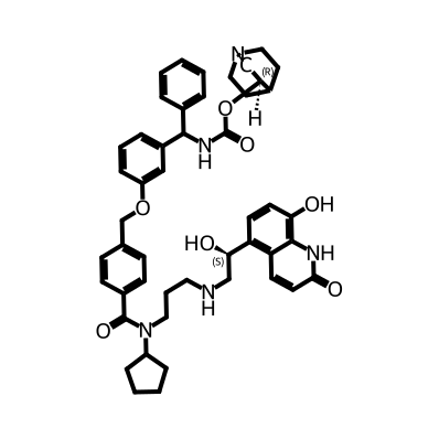 O=C(NC(c1ccccc1)c1cccc(OCc2ccc(C(=O)N(CCCNC[C@@H](O)c3ccc(O)c4[nH]c(=O)ccc34)C3CCCC3)cc2)c1)O[C@H]1CN2CCC1CC2